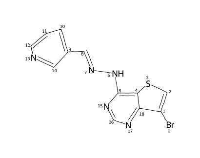 Brc1csc2c(NN=Cc3cccnc3)ncnc12